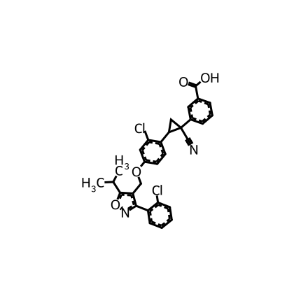 CC(C)c1onc(-c2ccccc2Cl)c1COc1ccc(C2CC2(C#N)c2cccc(C(=O)O)c2)c(Cl)c1